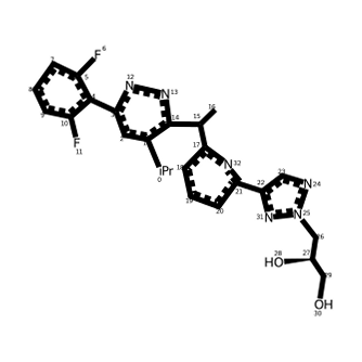 CC(C)c1cc(-c2c(F)cccc2F)nnc1C(C)c1cccc(-c2cnn(C[C@H](O)CO)n2)n1